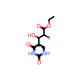 CCOC(=O)C(I)C(O)c1c[nH]c(=O)[nH]c1=O